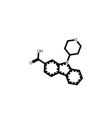 O=C(O)c1ccc2c3ccccc3n(C3CCOCC3)c2c1